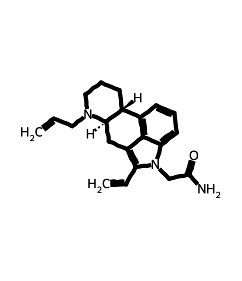 C=CCN1CCC[C@@H]2c3cccc4c3c(c(C=C)n4CC(N)=O)C[C@H]21